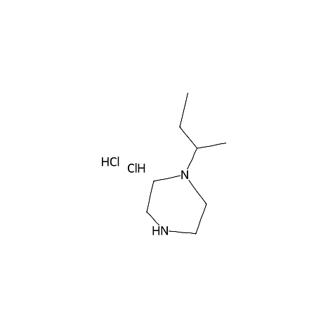 CCC(C)N1CCNCC1.Cl.Cl